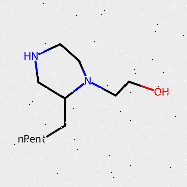 CCCCCCC1CNCCN1CCO